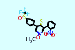 COn1cc(-c2ccc([S+]([O-])C(F)(F)F)cc2)c(=S)c(-c2ccccc2[N+](=O)[O-])c1